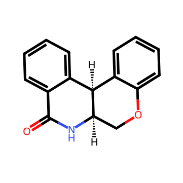 O=C1N[C@@H]2COc3ccccc3[C@@H]2c2ccccc21